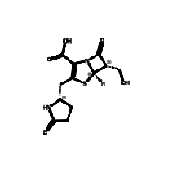 O=C1CC[C@@H](CC2=C(C(=O)O)N3C(=O)[C@H](CO)[C@H]3S2)N1